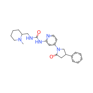 CN1CCCCC1CNC(=O)Nc1cc(N2CC(c3ccccc3)CC2=O)ccn1